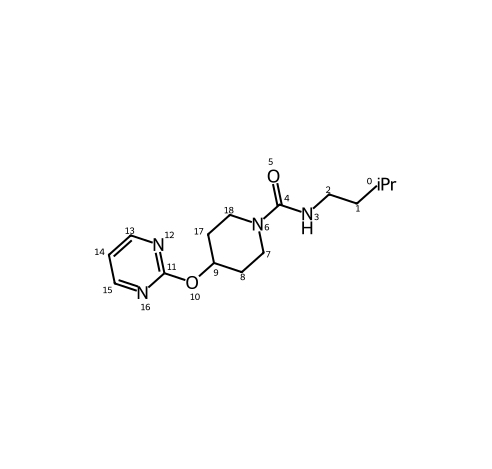 CC(C)CCNC(=O)N1CCC(Oc2ncccn2)CC1